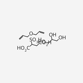 C=CCOCC=C.O=C(O)CC(C(=O)O)S(=O)(=O)O.OCC(O)CO